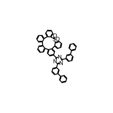 O=S1(=O)c2ccccc2-c2ccccc2-c2ccccc2-c2ccc(-c3nc(-c4cccc(-c5ccccc5)c4)nc(-c4cccc(-c5ccccc5)c4)n3)cc2-c2ccccc21